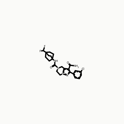 NC(=O)c1c(-c2cccc(Cl)c2)nn2c1CN(C(=O)NC13CCC(C(F)F)(CC1)CC3)CC2